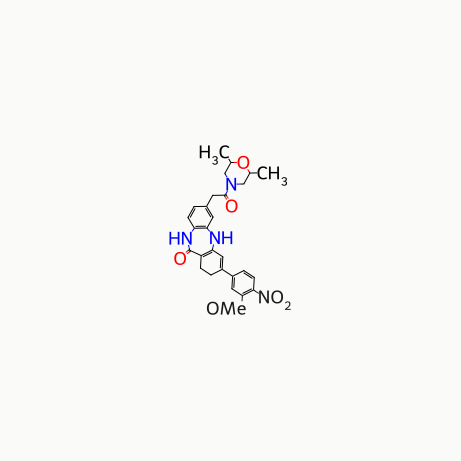 COc1cc(C2=CC3=C(CC2)C(=O)Nc2ccc(CC(=O)N4CC(C)OC(C)C4)cc2N3)ccc1[N+](=O)[O-]